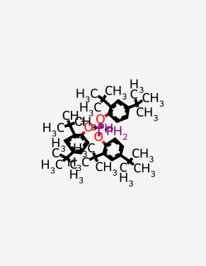 CC(C)(C)c1ccc(O[PH](P)(Oc2ccc(C(C)(C)C)cc2C(C)(C)C)Oc2ccc(C(C)(C)C)cc2C(C)(C)C)c(C(C)(C)C)c1